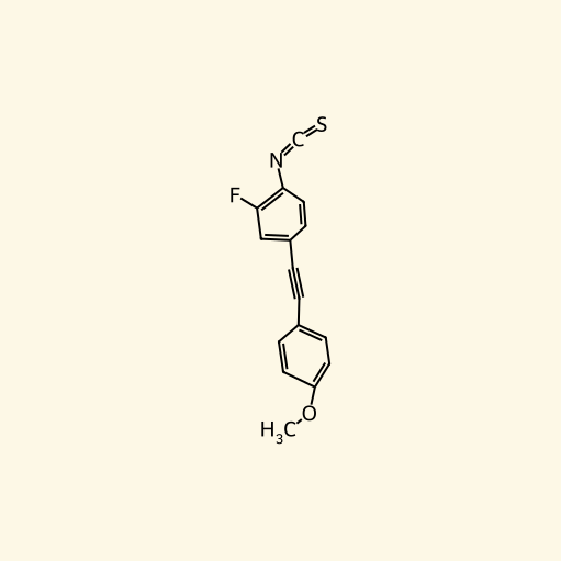 COc1ccc(C#Cc2ccc(N=C=S)c(F)c2)cc1